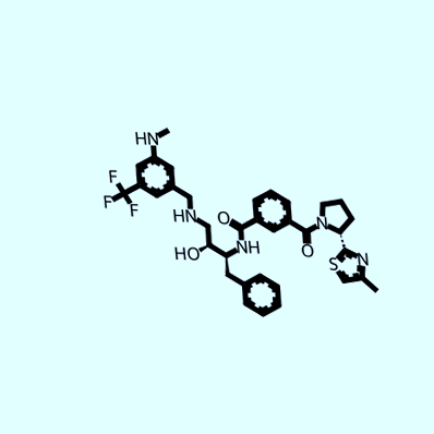 CNc1cc(CNC[C@H](O)[C@H](Cc2ccccc2)NC(=O)c2cccc(C(=O)N3CCC[C@@H]3c3nc(C)cs3)c2)cc(C(F)(F)F)c1